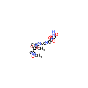 COc1cc(C2=CN(C)C(=O)N3CCCC23)cc(OC)c1CN1CCN(CCC2CCN(c3ccc4c(c3)C(=O)N(C3CCC(=O)NC3=O)C4=O)CC2)CC1